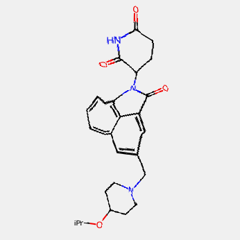 CC(C)OC1CCN(Cc2cc3c4c(cccc4c2)N(C2CCC(=O)NC2=O)C3=O)CC1